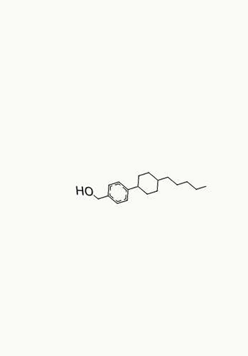 CCCCCC1CCC(c2ccc(CO)cc2)CC1